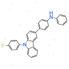 Fc1ccc(-n2c3ccccc3c3cc(-c4ccc(Nc5ccccc5)cc4)ccc32)cc1